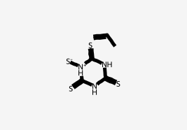 C=CC.S=C1NC(=S)[NH+]([S-])C(=S)N1